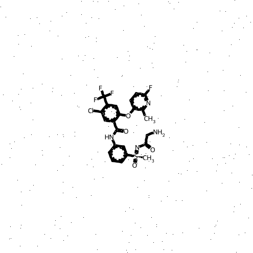 Cc1nc(F)ccc1Oc1cc(C(F)(F)F)c(Cl)cc1C(=O)Nc1cccc([S@@](C)(=O)=NC(=O)CN)c1